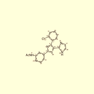 CC(=O)Nc1cc(-c2nc(-c3ccccc3Cl)c(-c3ncc[nH]3)s2)ccn1